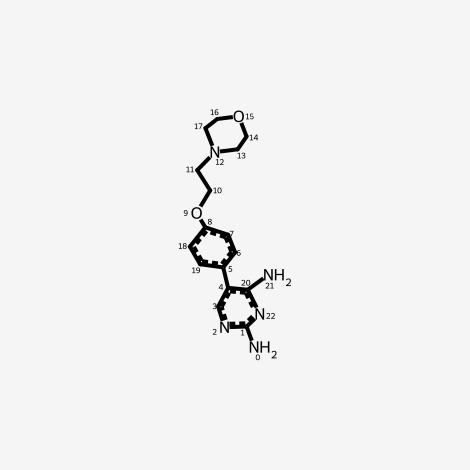 Nc1ncc(-c2ccc(OCCN3CCOCC3)cc2)c(N)n1